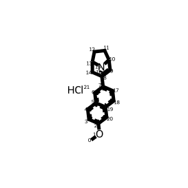 COc1ccc2cc(C3=CC4CCC(C3)N4C)ccc2c1.Cl